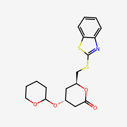 O=C1C[C@H](OC2CCCCO2)C[C@@H](CSc2nc3ccccc3s2)O1